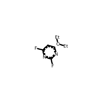 CCOCC.Fc1ccnc(F)n1